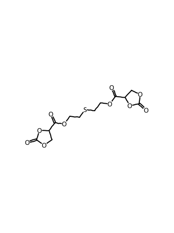 O=C1OCC(C(=O)OCCSCCOC(=O)C2COC(=O)O2)O1